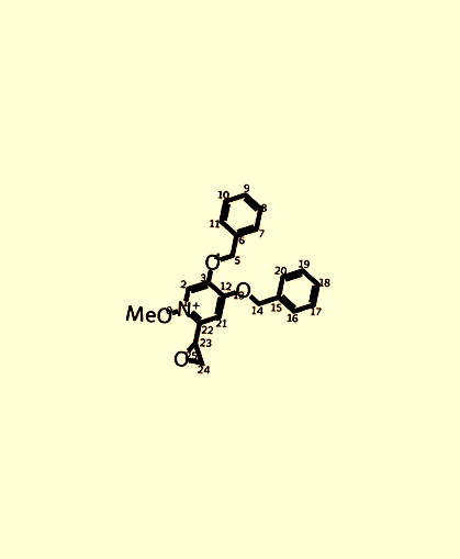 CO[n+]1cc(OCc2ccccc2)c(OCc2ccccc2)cc1C1CO1